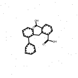 O=C(O)c1cccc(C(=O)O)c1Cc1ccccc1-c1ccccc1